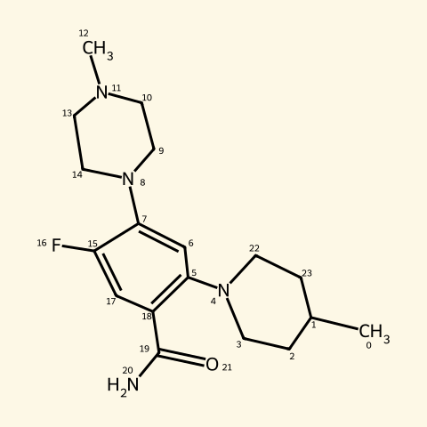 CC1CCN(c2cc(N3CCN(C)CC3)c(F)cc2C(N)=O)CC1